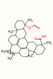 CC(C)C1CCC2C3=C1C1=C4C(CC5C(C)(C(=O)O)CCCC5(C)C4CCC1C(C)C)C3CC1C(C)(OC=O)CCCC21C